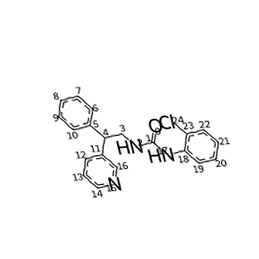 O=C(NCC(c1ccccc1)c1cccnc1)Nc1ccccc1Cl